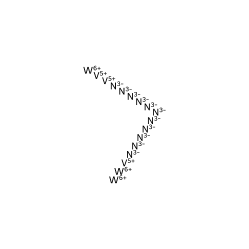 [N-3].[N-3].[N-3].[N-3].[N-3].[N-3].[N-3].[N-3].[N-3].[N-3].[N-3].[V+5].[V+5].[V+5].[W+6].[W+6].[W+6]